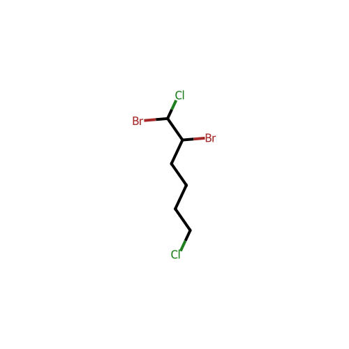 ClCCCCC(Br)C(Cl)Br